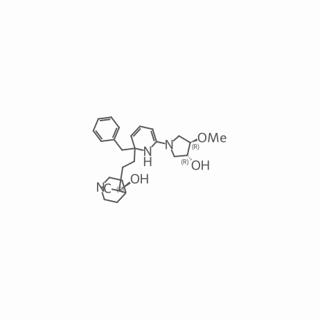 CO[C@@H]1CN(C2=CC=CC(CC[C@@]3(O)CN4CCC3CC4)(Cc3ccccc3)N2)C[C@H]1O